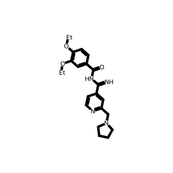 CCOc1ccc(C(=O)NC(=N)c2ccnc(CN3CCCC3)c2)cc1OCC